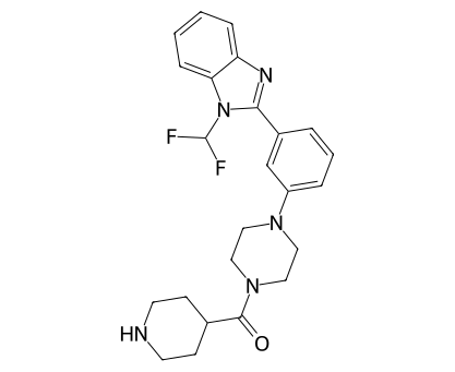 O=C(C1CCNCC1)N1CCN(c2cccc(-c3nc4ccccc4n3C(F)F)c2)CC1